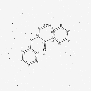 C=CC(Cc1ccccc1)C(=O)c1ccccc1